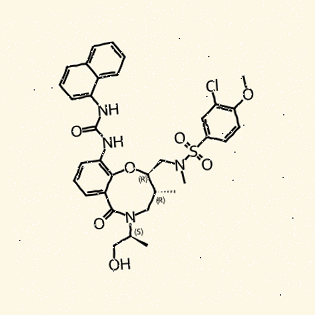 COc1ccc(S(=O)(=O)N(C)C[C@@H]2Oc3c(NC(=O)Nc4cccc5ccccc45)cccc3C(=O)N([C@@H](C)CO)C[C@H]2C)cc1Cl